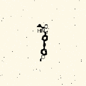 CCOc1ccc(C#Cc2ccc([C@H](C)NC(=O)C3CC3)cc2)cc1